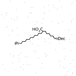 CCCCCCCCCCCCCCCCC(CCCCCCCCCCCC(C)C)C(=O)O